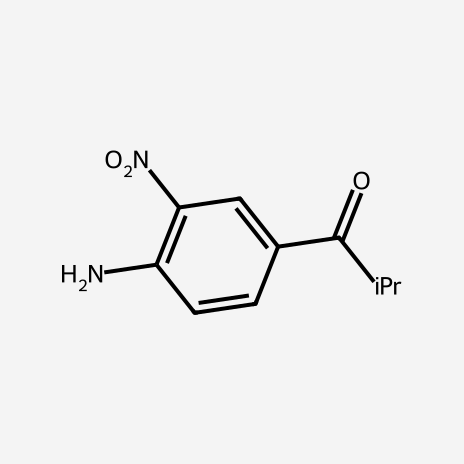 CC(C)C(=O)c1ccc(N)c([N+](=O)[O-])c1